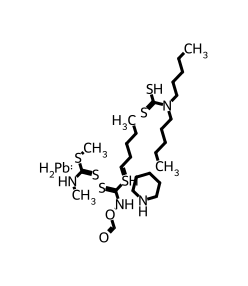 C1CCNCC1.CCCCC=[SH]C(=S)NOC=O.CCCCCN(CCCCC)C(=S)S.CNC(=S)SC.[PbH2]